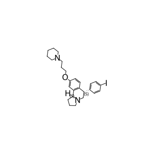 Ic1ccc([C@@H]2CN3CCC[C@H]3c3cc(OCCCN4CCCCC4)ccc32)cc1